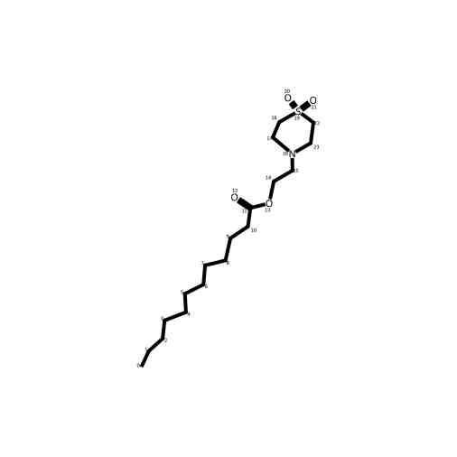 CCCCCCCCCCCC(=O)OCCN1CCS(=O)(=O)CC1